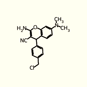 CN(C)c1ccc2c(c1)OC(N)=C(C#N)C2c1ccc(CCl)cc1